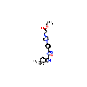 CCOC(=O)CCN1CCN(c2ccc(-c3noc(C4=NCC5=C4CCC(C)(C)C5)n3)cc2)CC1